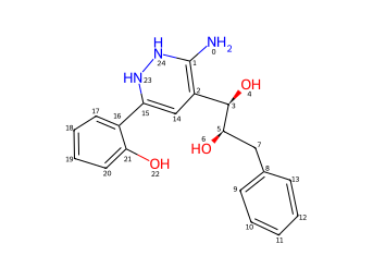 NC1=C([C@@H](O)[C@H](O)Cc2ccccc2)C=C(c2ccccc2O)NN1